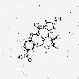 CCSC(C(=O)N(C)OC)[C@@H]1C[C@@H](S)CN1C(=O)OCc1ccc([N+](=O)[O-])cc1